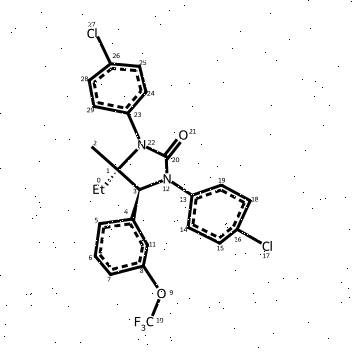 CC[C@@]1(C)[C@H](c2cccc(OC(F)(F)F)c2)N(c2ccc(Cl)cc2)C(=O)N1c1ccc(Cl)cc1